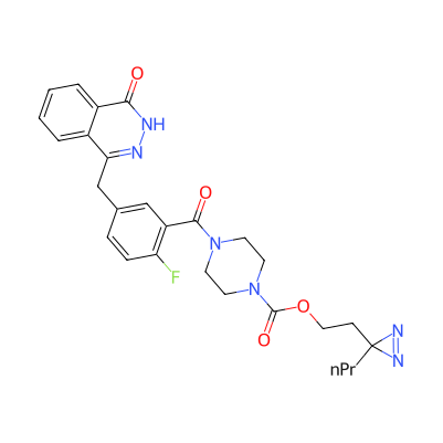 CCCC1(CCOC(=O)N2CCN(C(=O)c3cc(Cc4n[nH]c(=O)c5ccccc45)ccc3F)CC2)N=N1